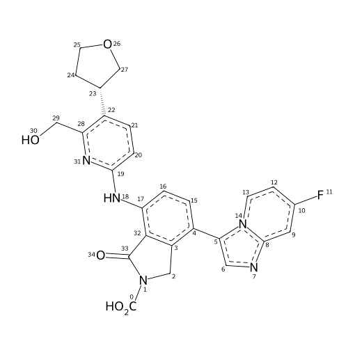 O=C(O)N1Cc2c(-c3cnc4cc(F)ccn34)ccc(Nc3ccc([C@@H]4CCOC4)c(CO)n3)c2C1=O